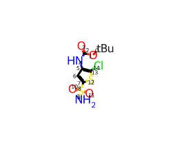 CC(C)(C)OC(=O)Nc1cc(S(N)(=O)=O)sc1Cl